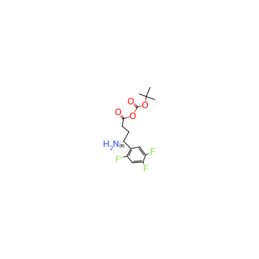 CC(C)(C)OC(=O)OC(=O)CC[C@@H](N)c1cc(F)c(F)cc1F